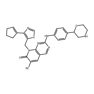 N#Cc1cc2cnc(Nc3ccc(C4CNCCO4)cc3)nc2n(Cc2scnc2C2=CCCC2)c1=O